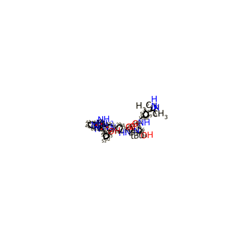 Cc1n[nH]c(C)c1-c1ccc(CNC(=O)[C@@H]2C[C@@H](O)CN2C(=O)[C@@H](NC(=O)[C@H]2CC[C@H](N3CCC(c4cnc(N5C6CCC5CN(c5cc(-c7ccccc7O)nnc5N)C6)nc4)CC3)CC2)C(C)(C)C)cc1